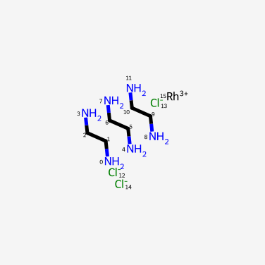 NCCN.NCCN.NCCN.[Cl-].[Cl-].[Cl-].[Rh+3]